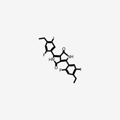 CCc1cc(F)c(C2=C3C(=O)NC(c4cc(I)c(CC)cc4F)=C3C(=O)N2)cc1I